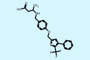 CC(CC(=O)O)NCc1ccc(OCc2cc(-c3ccccc3)c(C(F)(F)F)s2)cc1